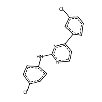 Clc1ccc(Nc2nccc(-c3cccc(Cl)c3)n2)cc1